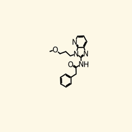 COCCCn1c(NC(=O)Cc2ccccc2)nc2cccnc21